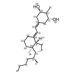 CCCC[C@H](C)[C@H]1CC[C@H]2/C(=C/C=C3C[C@@H](O)C(C)[C@H](O)C3)CCC[C@]12C